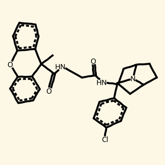 CC1(C(=O)NCC(=O)NC2CC3CCC(C2)N3Cc2ccc(Cl)cc2)c2ccccc2Oc2ccccc21